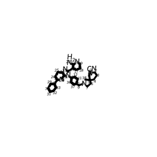 N#CN1CCCC2(CCN(Cc3ccc(-n4c(-c5cccnc5N)nc5ccc(-c6ccccc6)nc54)cc3)C2)C1